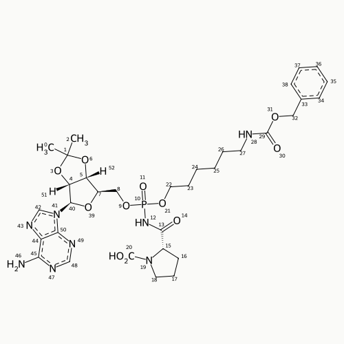 CC1(C)O[C@@H]2[C@H](O1)[C@@H](COP(=O)(NC(=O)[C@@H]1CCCN1C(=O)O)OCCCCCCNC(=O)OCc1ccccc1)O[C@H]2n1cnc2c(N)ncnc21